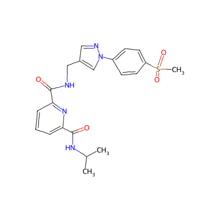 CC(C)NC(=O)c1cccc(C(=O)NCc2cnn(-c3ccc(S(C)(=O)=O)cc3)c2)n1